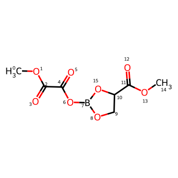 COC(=O)C(=O)OB1OCC(C(=O)OC)O1